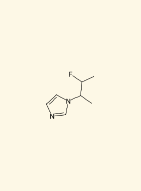 CC(F)C(C)n1ccnc1